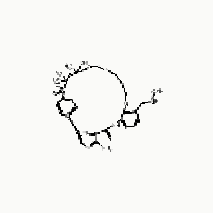 CNCc1cccc2c1OCCCCCCC(C)(O)CC(C)(C)S(=O)(=O)c1ccc(cc1)-c1cnc(N)c(n1)C(=O)N2